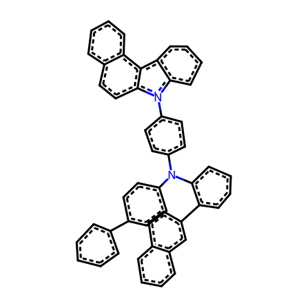 c1ccc(-c2ccc(N(c3ccc(-n4c5ccccc5c5c6ccccc6ccc54)cc3)c3ccccc3-c3ccc4ccccc4c3)cc2)cc1